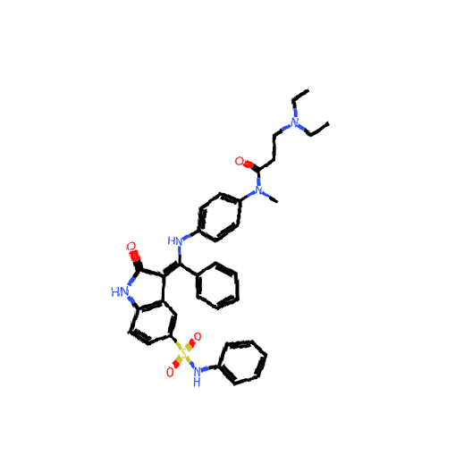 CCN(CC)CCC(=O)N(C)c1ccc(N/C(=C2\C(=O)Nc3ccc(S(=O)(=O)Nc4ccccc4)cc32)c2ccccc2)cc1